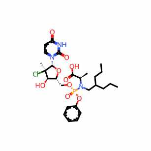 CCCC(CCC)CN([C@H](C)C(=O)O)[P@@](=O)(OC[C@H]1O[C@@H](n2ccc(=O)[nH]c2=O)[C@](C)(Cl)[C@@H]1O)Oc1ccccc1